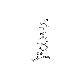 Nc1nc(N)n(-c2ccc3c(c2)CC[C@@H](NCc2ccc(Cl)s2)CC3)n1